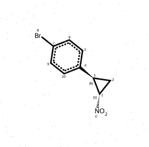 O=[N+]([O-])[C@H]1C[C@@H]1c1ccc(Br)cc1